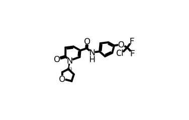 O=C(Nc1ccc(OC(F)(F)Cl)cc1)c1ccc(=O)n([C@H]2CCOC2)c1